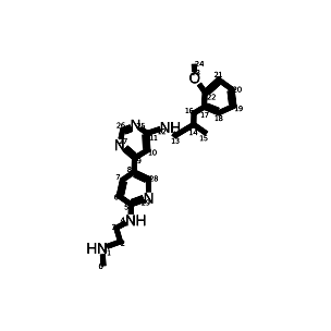 CNCCNc1ccc(-c2cc(NCC(C)Cc3ccccc3OC)ncn2)cn1